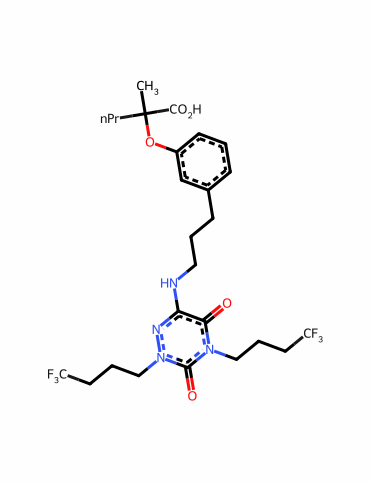 CCCC(C)(Oc1cccc(CCCNc2nn(CCCC(F)(F)F)c(=O)n(CCCC(F)(F)F)c2=O)c1)C(=O)O